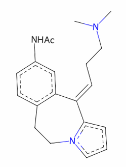 CC(=O)Nc1ccc2c(c1)/C(=C\CCN(C)C)c1cccn1CC2